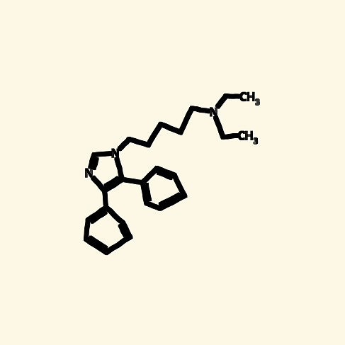 CCN(CC)CCCCCn1cnc(-c2ccccc2)c1-c1ccccc1